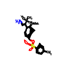 COc1cc(OS(=O)(=O)c2ccc(C)cc2)ccc1C(CN)[Si](C)(C)C